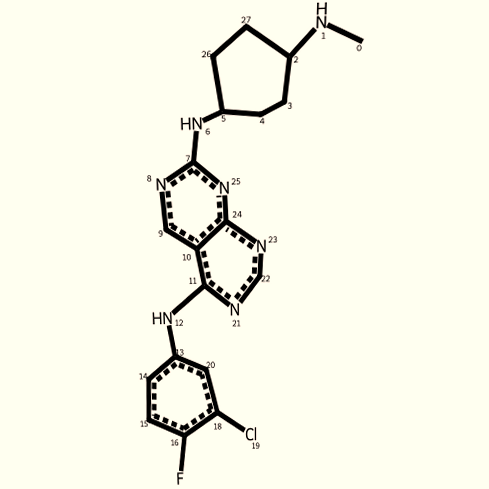 CNC1CCC(Nc2ncc3c(Nc4ccc(F)c(Cl)c4)ncnc3n2)CC1